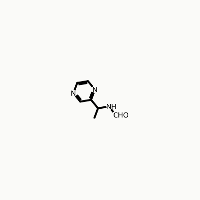 CC(NC=O)c1cnccn1